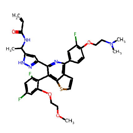 C=CC(=O)NC(C)c1cc(-c2nc(-c3ccc(OCCN(C)C)c(F)c3)c3ccsc3c2-c2c(F)cc(F)cc2OCCOC)n[nH]1